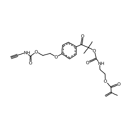 C#CNC(=O)OCCOc1ccc(C(=O)C(C)(C)OC(=O)NCCOC(=O)C(=C)C)cc1